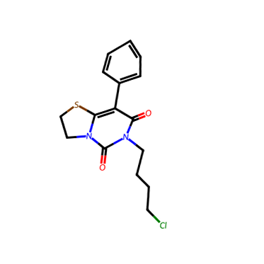 O=c1c(-c2ccccc2)c2n(c(=O)n1CCCCCl)CCS2